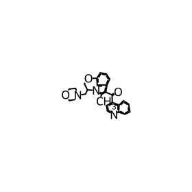 Cc1c(C(=O)c2ccnc3ccccc23)c2cccc3c2n1C(CN1CCOCC1)CO3